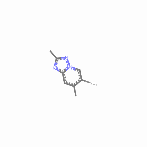 Cc1nc2cc(C)c([N+](=O)[O-])cn2n1